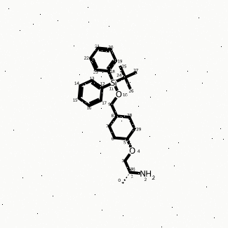 C[C@@H](N)COC1CCC(CO[Si](c2ccccc2)(c2ccccc2)C(C)(C)C)CC1